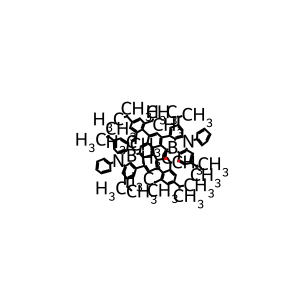 CC(C)c1cc(C(C)C)c(-c2cc3c4c(cc5c(-c6c(C(C)C)cc(C(C)C)cc6C(C)C)cc6c7c(cc2c4c57)B2c4ccc(C(C)C)cc4N(c4ccccc4)c4cc(C(C)C)cc-6c42)B2c4ccc(C(C)C)cc4N(c4ccccc4)c4cc(C(C)C)cc-3c42)c(C(C)C)c1